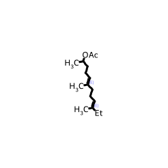 CC/C(C)=C/CC/C(C)=C/CCC(C)OC(C)=O